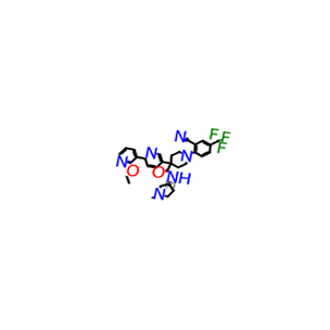 CCOc1ncccc1-c1ccc(C2(C(=O)N[C@@H]3CCN(C)C3)CCN(c3ccc(C(F)(F)F)cc3C#N)CC2)cn1